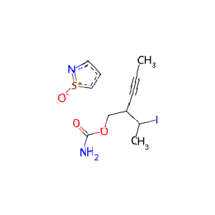 CC#CC(COC(N)=O)C(C)I.[O-][s+]1cccn1